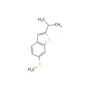 CSc1ccc2cc(C(C)C)sc2c1